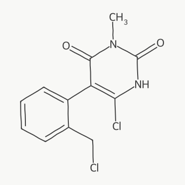 Cn1c(=O)[nH]c(Cl)c(-c2ccccc2CCl)c1=O